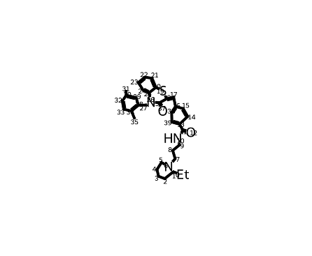 CCC1CCCCN1CCCNC(=O)c1ccc(C=C2Sc3ccccc3N(Cc3cc(C)ccc3C)C2=O)cc1